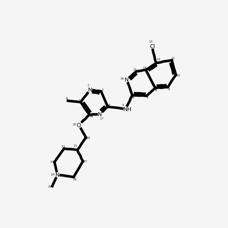 Cc1ncc(Nc2cc3cccc(Cl)c3cn2)nc1OCC1CCN(C)CC1